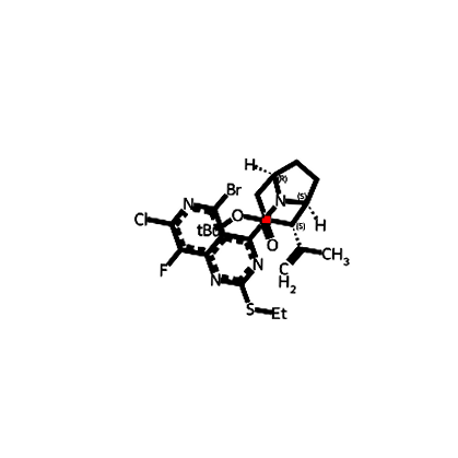 C=C(C)[C@H]1[C@@H]2CC[C@H](CN1c1nc(SCC)nc3c(F)c(Cl)nc(Br)c13)N2C(=O)OC(C)(C)C